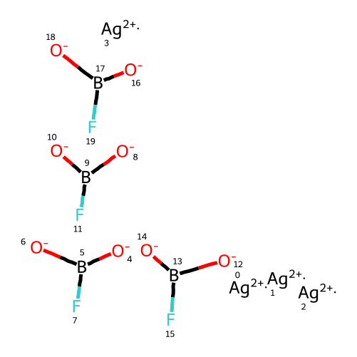 [Ag+2].[Ag+2].[Ag+2].[Ag+2].[O-]B([O-])F.[O-]B([O-])F.[O-]B([O-])F.[O-]B([O-])F